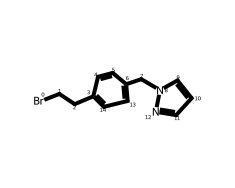 BrCCc1ccc(Cn2cccn2)cc1